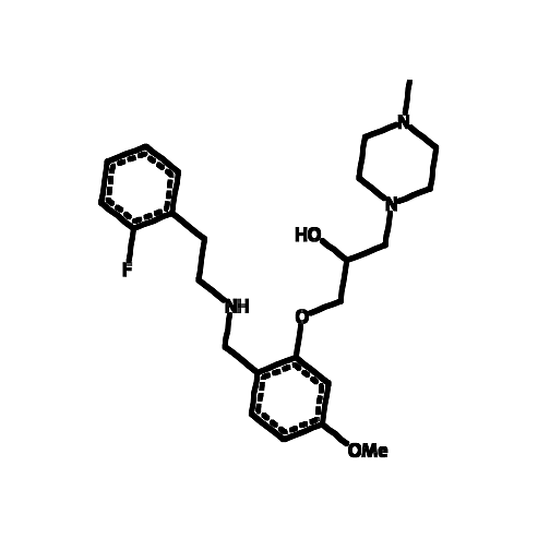 COc1ccc(CNCCc2ccccc2F)c(OCC(O)CN2CCN(C)CC2)c1